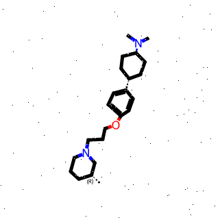 C[C@@H]1CCCN(CCCOc2ccc([C@H]3CC[C@@H](N(C)C)CC3)cc2)C1